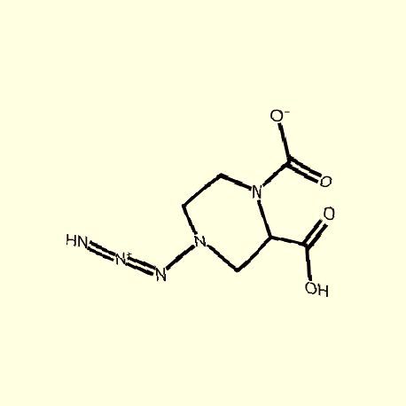 N=[N+]=NN1CCN(C(=O)[O-])C(C(=O)O)C1